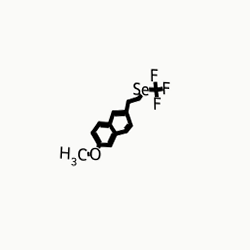 COc1ccc2cc(CC[Se]C(F)(F)F)ccc2c1